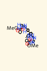 COC(=O)N[C@H](C(=O)N1CCC[C@@H]1c1ncc(-c2ccc(-c3ccc(-c4cnc([C@@H]5CCCN5C(=O)[C@@H](NC(=O)OC)C5CCCCC5)[nH]4)c4c3C3CC(C)CC4N3)cc2)[nH]1)C1CCCCC1